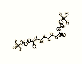 CC(C)(C)OOOC(=O)CCCCCCC(=O)OOOC(C)(C)C